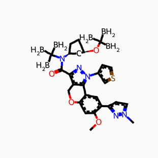 BC(B)(B)O[C@@H]1CC[C@H](N(C(=O)c2nn(-c3ccsc3)c3c2COc2cc(OC)c(-c4ccn(C)n4)cc2-3)C(B)(B)B)C1